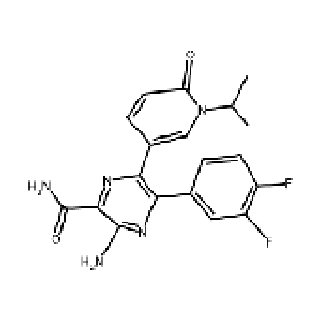 CC(C)n1cc(-c2nc(C(N)=O)c(N)nc2-c2ccc(F)c(F)c2)ccc1=O